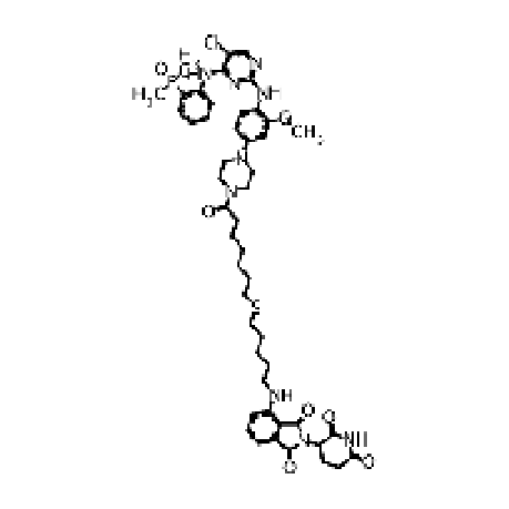 COc1cc(N2CCN(C(=O)CCCCCCSCCCCCNc3cccc4c3C(=O)N(C3CCC(=O)NC3=O)C4=O)CC2)ccc1Nc1ncc(Cl)c(Nc2ccccc2P(C)(C)=O)n1